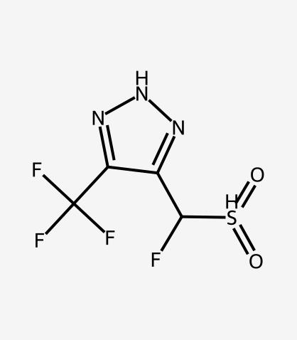 O=[SH](=O)C(F)c1n[nH]nc1C(F)(F)F